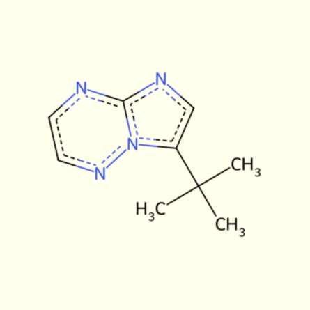 CC(C)(C)c1cnc2nccnn12